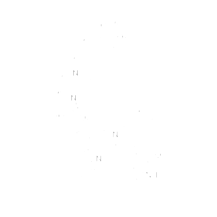 O=C1NCc2c1c1c3ccccc3n3c1c1c2c2ccccc2n1CC(COC(=O)N1CCN(Cc2ccc4c(c2)OCO4)CC1)C3